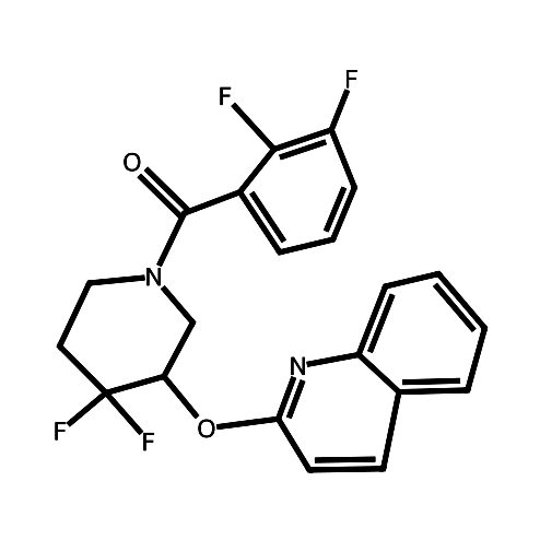 O=C(c1cccc(F)c1F)N1CCC(F)(F)C(Oc2ccc3ccccc3n2)C1